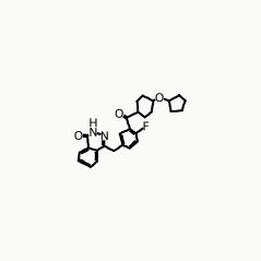 O=C(c1cc(Cc2n[nH]c(=O)c3ccccc23)ccc1F)C1CCC(OC2CCCC2)CC1